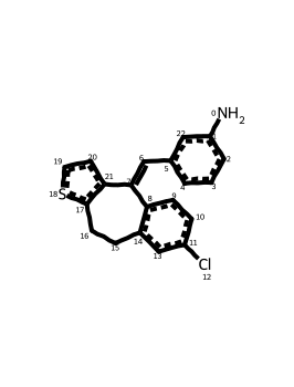 Nc1cccc(C=C2c3ccc(Cl)cc3CCc3sccc32)c1